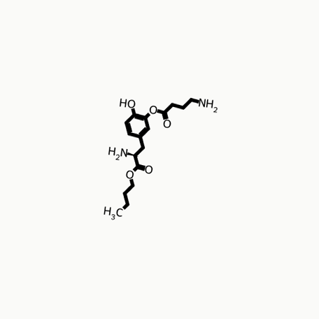 CCCCOC(=O)[C@@H](N)Cc1ccc(O)c(OC(=O)CCCN)c1